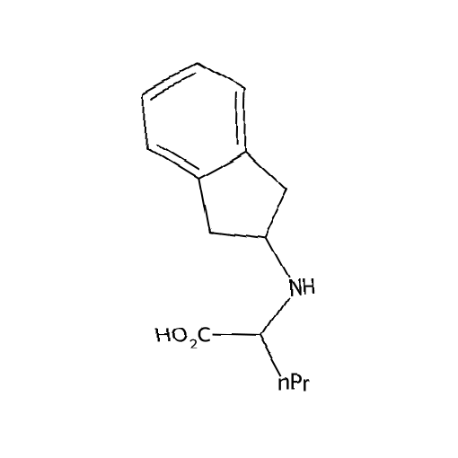 CCCC(NC1Cc2ccccc2C1)C(=O)O